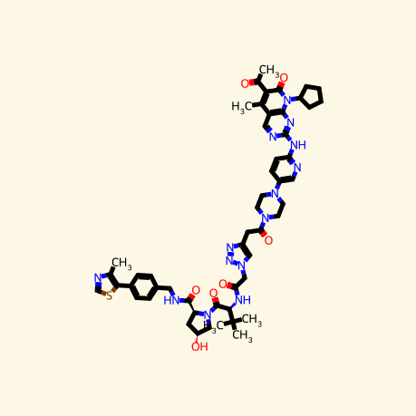 CC(=O)c1c(C)c2cnc(Nc3ccc(N4CCN(C(=O)Cc5cn(CC(=O)N[C@H](C(=O)N6C[C@H](O)C[C@H]6C(=O)NCc6ccc(-c7scnc7C)cc6)C(C)(C)C)nn5)CC4)cn3)nc2n(C2CCCC2)c1=O